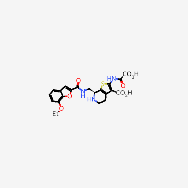 CCOc1cccc2cc(C(=O)NC[C@@H]3NCCc4c3sc(NC(=O)C(=O)O)c4C(=O)O)oc12